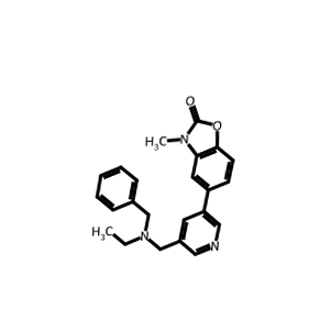 CCN(Cc1ccccc1)Cc1cncc(-c2ccc3oc(=O)n(C)c3c2)c1